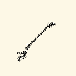 CCCN(CCCN(C)C(=O)OC1CCC1)C(=O)C1=Cc2ccc(-c3cnc(CNC(=O)CCOCCOCCOCCOCCOCCOCCOCCOCCOCCOCCC(=O)Oc4c(F)c(F)c(S(=O)(=O)O)c(F)c4F)nc3)cc2N=C(N)C1